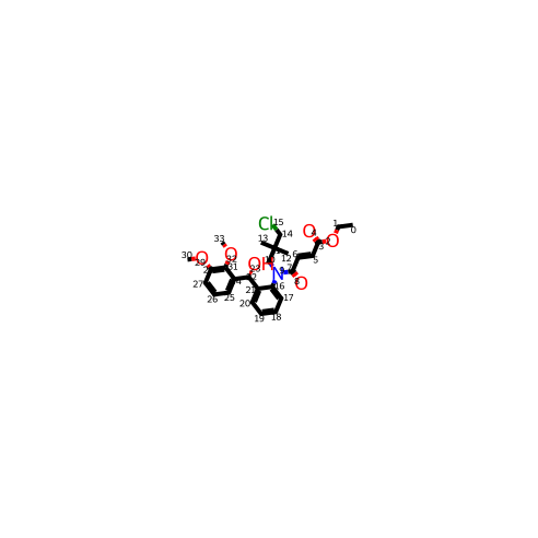 CCOC(=O)C=CC(=O)N(CC(C)(C)CCl)c1ccccc1[C@H](O)c1cccc(OC)c1OC